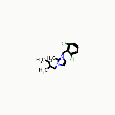 CCC(C)Cn1cc[n+](Cc2c(Cl)c#ccc2Cl)c1C